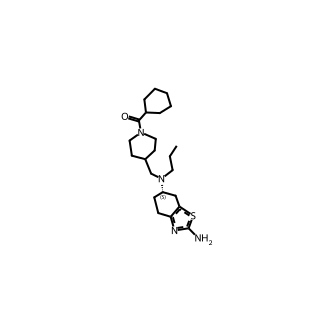 CCCN(CC1CCN(C(=O)C2CCCCC2)CC1)[C@H]1CCc2nc(N)sc2C1